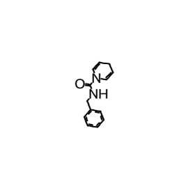 O=C(NCc1ccccc1)N1C=CCC=C1